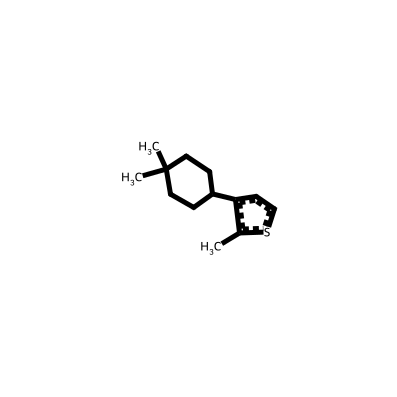 Cc1sccc1C1CCC(C)(C)CC1